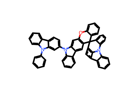 c1ccc(-n2c3ccccc3c3ccc(-n4c5ccccc5c5cc6c(cc54)Oc4ccccc4C64c5ccccc5-n5c6ccccc6c6cccc4c65)cc32)cc1